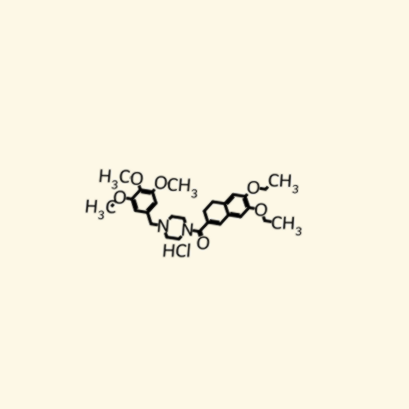 CCOc1cc2c(cc1OCC)CCC(C(=O)N1CCN(Cc3cc(OC)c(OC)c(OC)c3)CC1)=C2.Cl